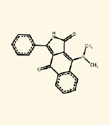 CN(C)C1=C2C(=O)NC(c3ccccc3)=C2C(=O)c2ccccc21